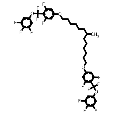 CC(CCCCCCOc1cc(F)c(C(F)(F)Oc2cc(F)c(F)c(F)c2)c(F)c1)CCCCCCOc1cc(F)c(C(F)(F)Oc2cc(F)c(F)c(F)c2)c(F)c1